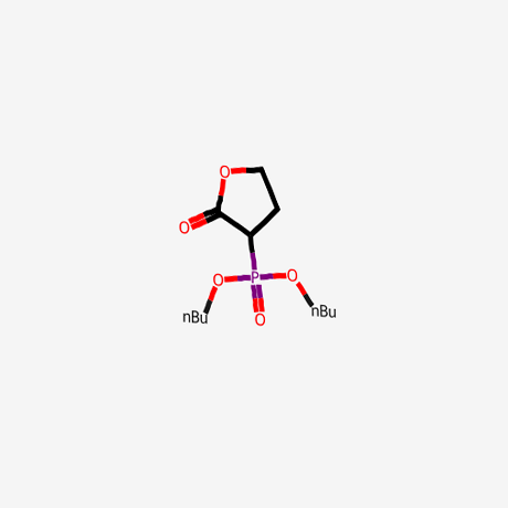 CCCCOP(=O)(OCCCC)C1CCOC1=O